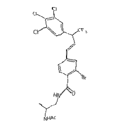 CC(=O)NC(C)CNC(=O)c1ccc(/C=C/C(c2cc(Cl)c(Cl)c(Cl)c2)C(F)(F)F)cc1Br